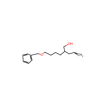 C=CCC(CO)CCCCOCc1ccccc1